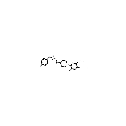 CCOC(=O)c1cc(Cl)c(N2CCC(C(=O)NS(=O)(=O)Cc3ccc(Cl)cc3)CC2)nc1SC